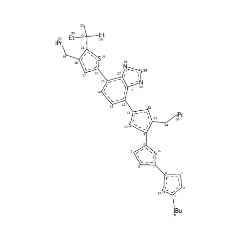 CCC(C)c1ccc(-c2ccc(-c3sc(-c4ccc(-c5cc(CC(C)C)c(C(C)(CC)CC)s5)c5nsnc45)cc3CC(C)C)s2)s1